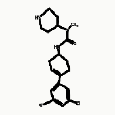 CN(C(=O)NC1CC=C(c2cc(Cl)cc(Cl)c2)CC1)C1CCNCC1